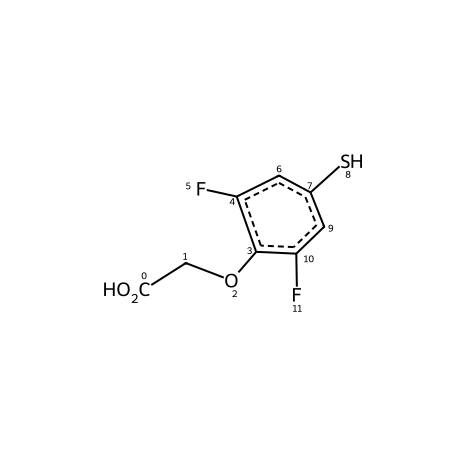 O=C(O)COc1c(F)cc(S)cc1F